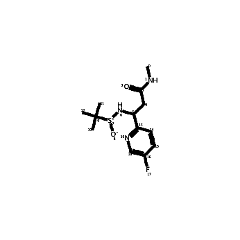 CNC(=O)CC(N[S+]([O-])C(C)(C)C)c1ccc(F)cn1